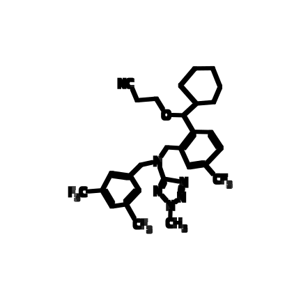 Cn1nnc(N(Cc2cc(C(F)(F)F)cc(C(F)(F)F)c2)Cc2cc(C(F)(F)F)ccc2C(OCCC#N)C2CCCCC2)n1